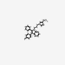 O=[N+]([O-])c1cn(CCCn2c(-c3ccncc3)c(-c3ccc(F)cc3)c3nccnc32)cn1